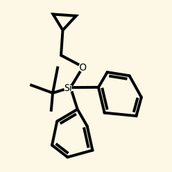 CC(C)(C)[Si](OCC1CC1)(c1ccccc1)c1ccccc1